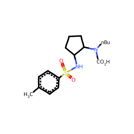 CCCCN(C(=O)O)C1CCCC1NS(=O)(=O)c1ccc(C)cc1